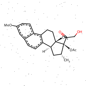 COc1ccc2c3c(ccc2c1)[C@@H]1C[C@@H](C)[C@@](OC(C)=O)(C(=O)CO)[C@@]1(C)CC3